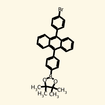 CC1(C)OB(c2ccc(-c3c4ccccc4c(-c4ccc(Br)cc4)c4ccccc34)cc2)OC1(C)C